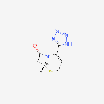 O=C1C[C@H]2SCC=C(c3nnn[nH]3)N12